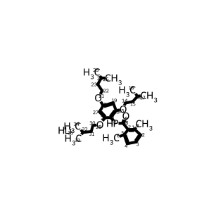 Cc1cccc(C)c1C(=O)Pc1c(OCCC(C)C)cc(OCCC(C)C)cc1OCCC(C)C.[LiH]